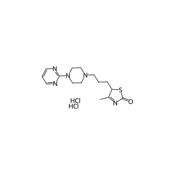 CC1=NC(=O)SC1CCCN1CCN(c2ncccn2)CC1.Cl.Cl